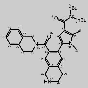 CCCCN(CCCC)C(=O)c1cc(-c2cc3c(cc2C(=O)N2CCc4ccccc4C2)CNCC3)n(C)c1C